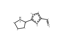 O=Cc1csc(C2CCCN2)n1